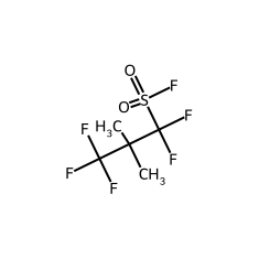 CC(C)(C(F)(F)F)C(F)(F)S(=O)(=O)F